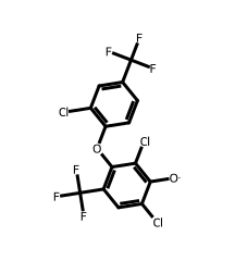 [O]c1c(Cl)cc(C(F)(F)F)c(Oc2ccc(C(F)(F)F)cc2Cl)c1Cl